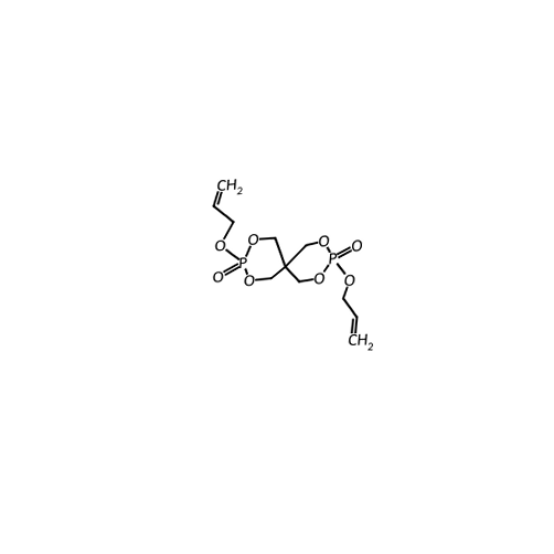 C=CCOP1(=O)OCC2(CO1)COP(=O)(OCC=C)OC2